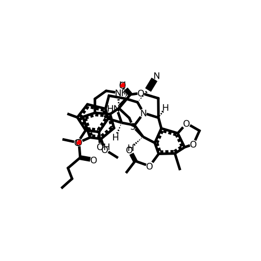 CCCC(=O)Oc1cc2c(cc1OC)[C@@]1(CS[C@@H]3c4c(OC(C)=O)c(C)c5c(c4[C@H](COC1=O)N1C3[C@@H]3N[C@@H](Cc4cc(C)c(OC)c(O)c43)[C@@H]1C#N)OCO5)NCC2